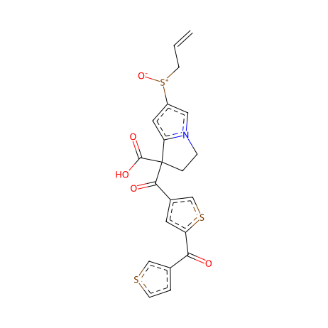 C=CC[S+]([O-])c1cc2n(c1)CCC2(C(=O)O)C(=O)c1csc(C(=O)c2ccsc2)c1